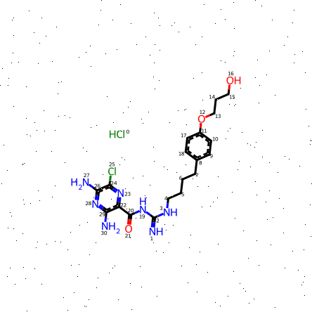 Cl.N=C(NCCCCc1ccc(OCCCO)cc1)NC(=O)c1nc(Cl)c(N)nc1N